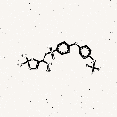 CC1(C)OC=C([C@@H](CS(=O)(=O)c2ccc(Oc3ccc(OC(F)(F)F)cc3)cc2)NO)O1